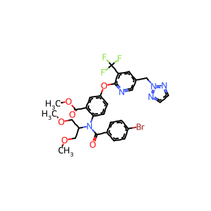 COCC(COC)N(C(=O)c1ccc(Br)cc1)c1ccc(Oc2ncc(Cn3nccn3)cc2C(F)(F)F)cc1C(=O)OC